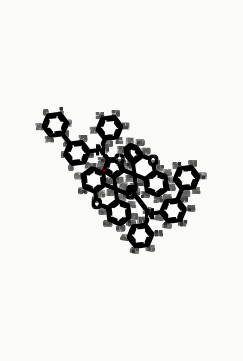 c1ccc(-c2cccc(N(c3ccccc3)c3cc4c(o3)C3(c5ccccc5Oc5ccccc53)c3cc(N(c5ccccc5)c5cccc(-c6ccccc6)c5)oc3C43c4ccccc4Oc4ccccc43)c2)cc1